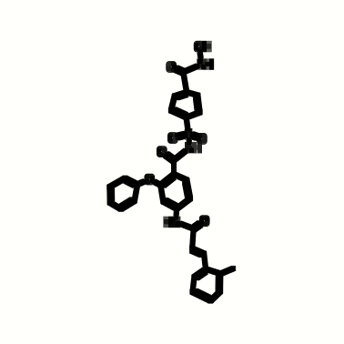 Cc1ccccc1C=CC(=O)Nc1ccc(C(=O)NS(=O)(=O)c2ccc(C(=O)NO)cc2)c(Oc2ccccc2)c1